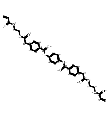 C=CC(=O)OCCOC(=O)Cc1ccc(C(=O)Oc2ccc(OC(=O)c3ccc(CC(=O)OCCOC(=O)C=C)cc3)cc2)cc1